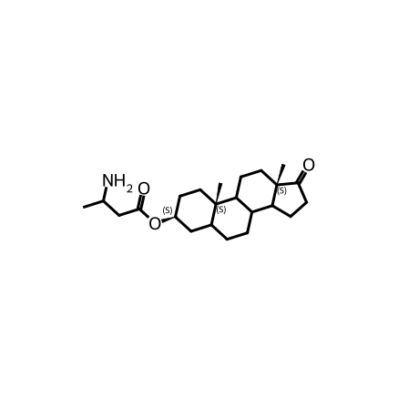 CC(N)CC(=O)O[C@H]1CC[C@@]2(C)C(CCC3C2CC[C@]2(C)C(=O)CCC32)C1